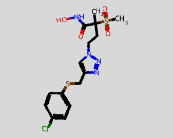 CC(CCn1cc(CSc2ccc(Cl)cc2)nn1)(C(=O)NO)S(C)(=O)=O